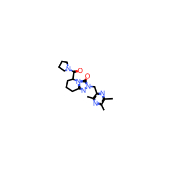 Cc1nc(C)c(Cn2nc3n(c2=O)C(C(=O)N2CCCC2)CCC3)nc1C